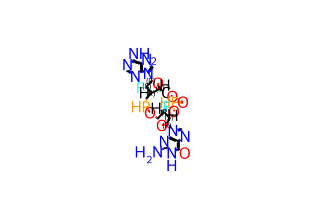 Nc1nc2c(ncn2[C@@H]2OC3OPC[C@H]4[C@H](F)[C@H](n5cnc6c(N)ncnc65)O[C@@H]4CO[PH](=O)O[C@@H]2[C@H]3F)c(=O)[nH]1